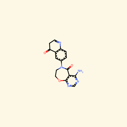 Nc1ncnc2c1C(=O)N(c1ccc3c(c1)C(=O)CC=N3)CCO2